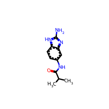 CC(C)C(=O)Nc1ccc2[nH]c(N)nc2c1